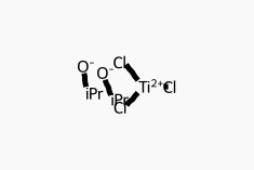 CC(C)[O-].CC(C)[O-].[Cl][Ti+2]([Cl])[Cl]